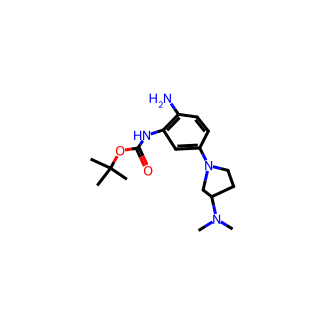 CN(C)C1CCN(c2ccc(N)c(NC(=O)OC(C)(C)C)c2)C1